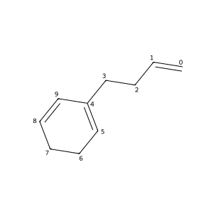 C=CCCC1=CCCC=C1